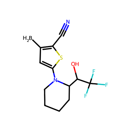 Bc1cc(N2CCCCC2C(O)C(F)(F)F)sc1C#N